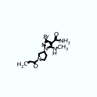 C=CC(=O)N1CCC(n2nc(Br)c(C(N)=O)c2NC)C1